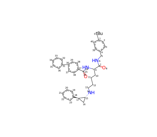 CC(C)(C)c1ccc(CNC(=O)C(CCCCN[C@@H]2C[C@H]2c2ccccc2)NC(=O)c2ccc(-c3ccccc3)cc2)cc1